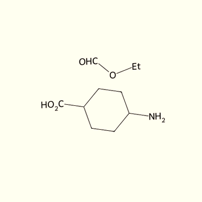 CCOC=O.NC1CCC(C(=O)O)CC1